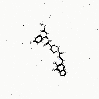 COC(=O)C[C@@H](NC(=O)C1CCN(C(=O)/C=C/c2cc3ccsc3c(Cl)c2Cl)CC1)c1ccc(Br)cc1